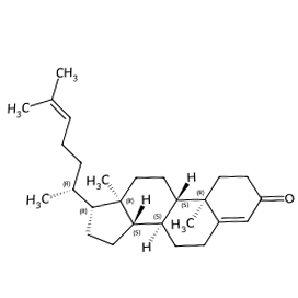 CC(C)=CCC[C@@H](C)[C@H]1CC[C@H]2[C@@H]3CCC4=CC(=O)CC[C@]4(C)[C@H]3CC[C@]12C